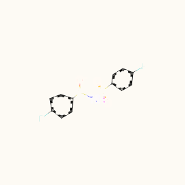 O=S(=O)(N[S+]([O-])c1ccc(F)cc1)c1ccc(F)cc1